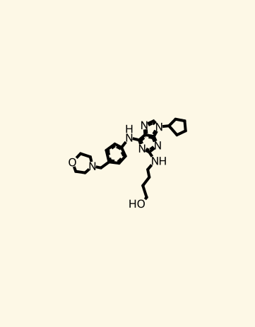 OCCCCNc1nc(Nc2ccc(CN3CCOCC3)cc2)c2ncn(C3CCCC3)c2n1